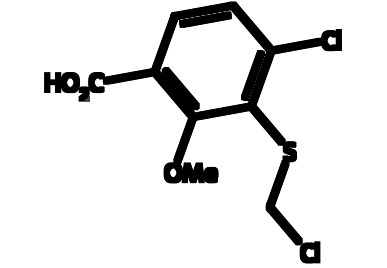 COc1c(C(=O)O)ccc(Cl)c1SCCl